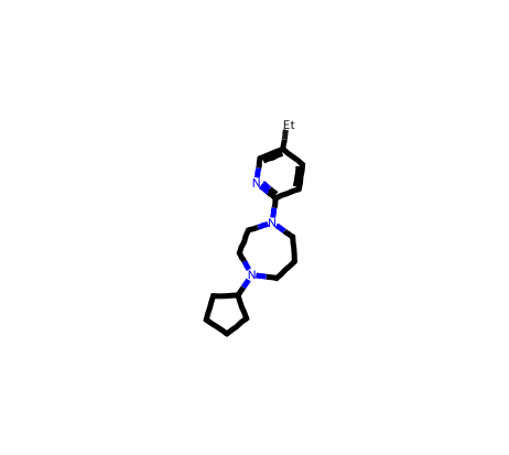 CCc1ccc(N2CCCN(C3CCCC3)CC2)nc1